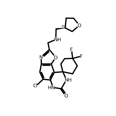 O=C1Nc2c(Cl)cc3nc(CNC[C@H]4CCOC4)oc3c2C2(CCC(F)(F)CC2)N1